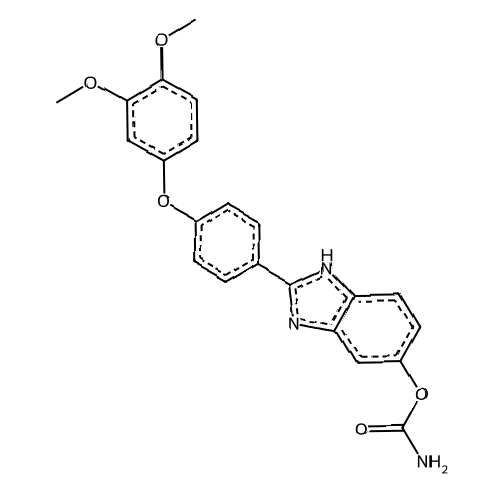 COc1ccc(Oc2ccc(-c3nc4cc(OC(N)=O)ccc4[nH]3)cc2)cc1OC